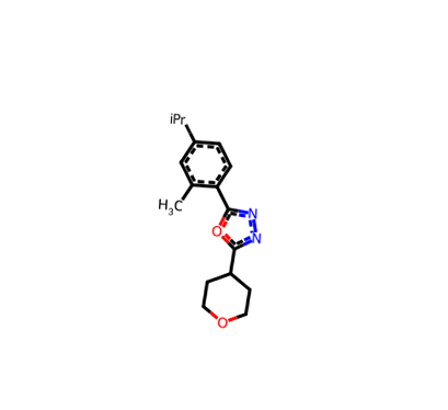 Cc1cc(C(C)C)ccc1-c1nnc(C2CCOCC2)o1